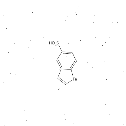 O=S(=O)(O)c1ccc2[te]ccc2c1